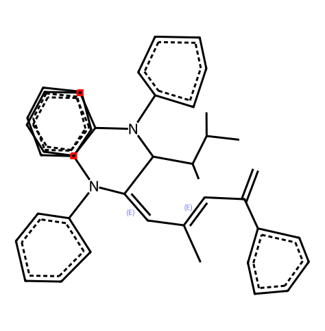 C=C(/C=C(C)/C=C(\C(C(C)C(C)C)N(c1ccccc1)c1ccccc1)N(c1ccccc1)c1ccccc1)c1ccccc1